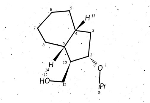 CC(C)O[C@H]1C[C@H]2CCCC[C@H]2[C@@H]1CO